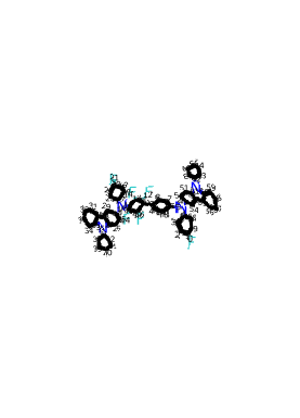 Fc1ccc(N(c2ccc(-c3c(F)c(F)c(N(c4ccc(F)cc4)c4ccc5c(c4)c4ccccc4n5-c4ccccc4)c(F)c3F)cc2)c2ccc3c(c2)c2ccccc2n3-c2ccccc2)cc1